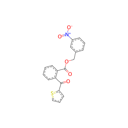 O=C(OCc1cccc([N+](=O)[O-])c1)c1ccccc1C(=O)c1cccs1